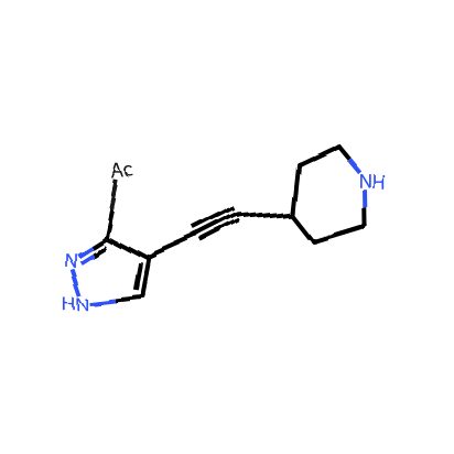 CC(=O)c1n[nH]cc1C#CC1CCNCC1